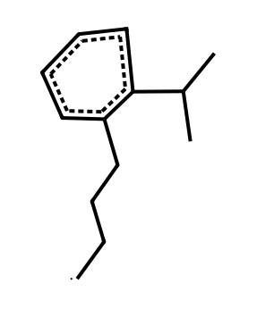 [CH2]CCCc1ccccc1C(C)C